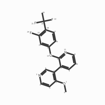 COc1ccncc1-c1cccnc1Oc1ccc(C(C)(F)F)c(F)c1